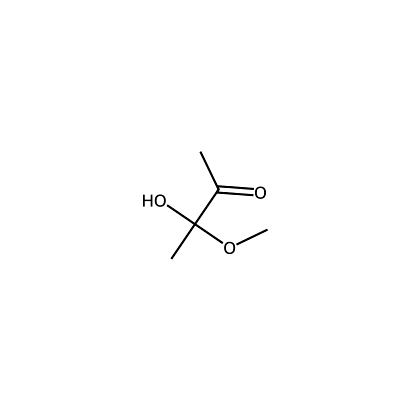 COC(C)(O)C(C)=O